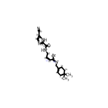 CC1(C)CC=C(C/N=C(Br)\C=C/CNC(=O)c2ncc(C#N)[nH]2)CC1